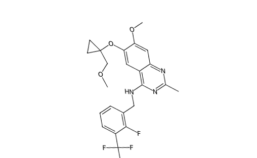 COCC1(Oc2cc3c(NCc4cccc(C(F)(F)F)c4F)nc(C)nc3cc2OC)CC1